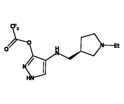 CCN1CC[C@H](CNc2c[nH]nc2OC(=O)C(F)(F)F)C1